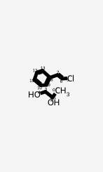 CC(O)CO.ClC=Cc1ccccc1